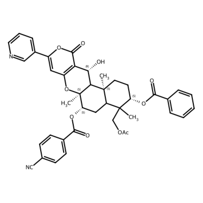 CC(=O)OCC1(C)C2C[C@H](OC(=O)c3ccc(C#N)cc3)[C@@]3(C)Oc4cc(-c5cccnc5)oc(=O)c4[C@H](O)C3[C@@]2(C)CC[C@@H]1OC(=O)c1ccccc1